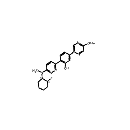 COc1cnc(-c2ccc(-c3ccc(N(C)[C@@H]4CCCC[C@@H]4F)nn3)c(O)c2)cn1